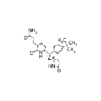 CC(C)(C)c1ccc(/C(=C\[C@H]2CCC(=O)N2)c2ccc(CCC(N)=O)c(=O)[nH]2)cc1